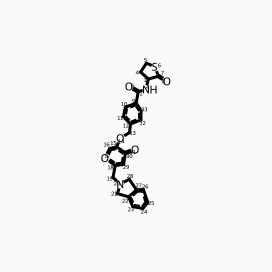 O=C(NC1CCSC1=O)c1ccc(COc2coc(CN3Cc4ccccc4C3)cc2=O)cc1